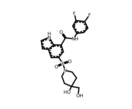 O=C(Nc1ccc(F)c(F)c1)c1cc(S(=O)(=O)N2CCC(O)(CO)CC2)cc2cc[nH]c12